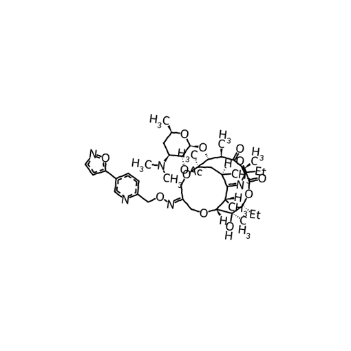 CCC(=O)/N=C1\[C@H](C)C[C@@]2(C)OCC(=NOCc3ccc(-c4ccno4)cn3)CO[C@H]([C@H]1C)[C@](C)(O)[C@@H](CC)OC(=O)[C@H](C)C(=O)[C@H](C)[C@H]2O[C@@H]1O[C@H](C)C[C@H](N(C)C)[C@H]1OC(C)=O